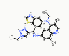 CC(C)(C)CNc1c(C#N)cnc2c(C#N)cc(NC(c3cn(CC(F)(F)F)nn3)c3cccc4ncsc34)cc12